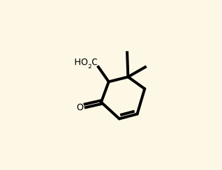 CC1(C)CC=CC(=O)C1C(=O)O